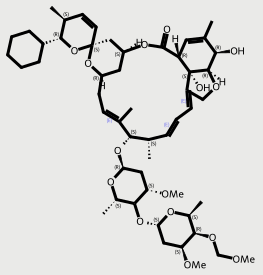 COCO[C@@H]1[C@H](C)O[C@@H](OC2[C@H](C)O[C@@H](O[C@@H]3/C(C)=C/C[C@@H]4C[C@@H](C[C@]5(C=C[C@H](C)[C@@H](C6CCCCC6)O5)O4)OC(=O)[C@@H]4C=C(C)[C@@H](O)[C@H]5OC/C(=C\C=C\[C@@H]3C)[C@]54O)C[C@@H]2OC)C[C@@H]1OC